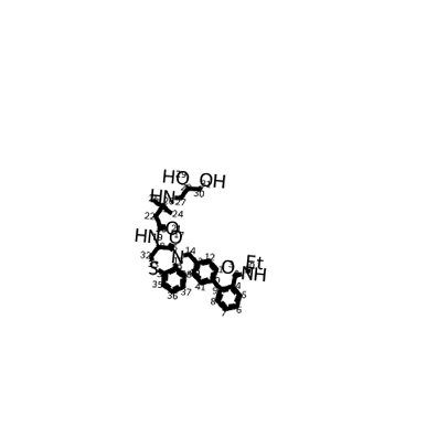 CCNC(=O)c1ccccc1-c1ccc(CN2C(=O)[C@H](NC(=O)CC(C)(C)NC[C@H](O)CO)CSc3ccccc32)cc1